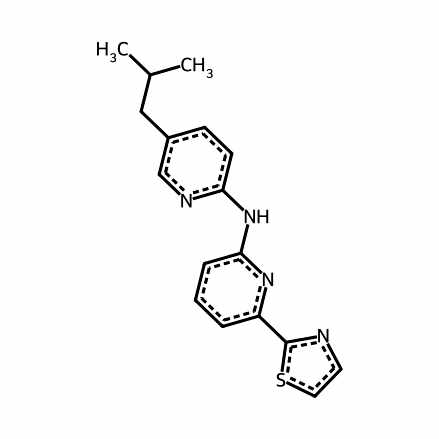 CC(C)Cc1ccc(Nc2cccc(-c3nccs3)n2)nc1